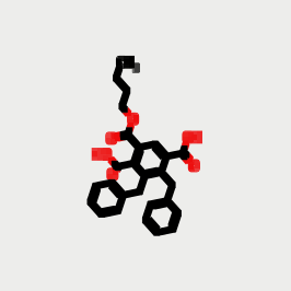 CCCCOC(=O)c1cc(C(=O)O)c(Cc2ccccc2)c(Cc2ccccc2)c1C(=O)O